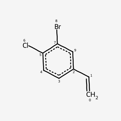 C=Cc1ccc(Cl)c(Br)c1